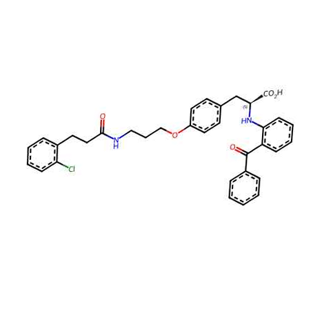 O=C(CCc1ccccc1Cl)NCCCOc1ccc(C[C@H](Nc2ccccc2C(=O)c2ccccc2)C(=O)O)cc1